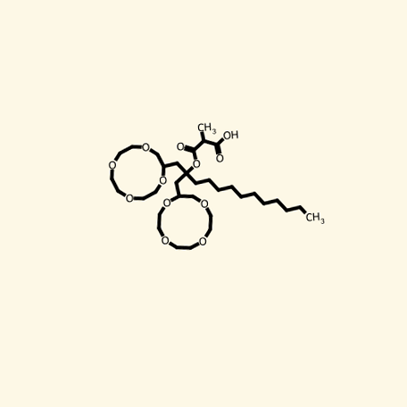 CCCCCCCCCCCC(CC1COCCOCCOCCO1)(CC1COCCOCCOCCO1)OC(=O)C(C)C(=O)O